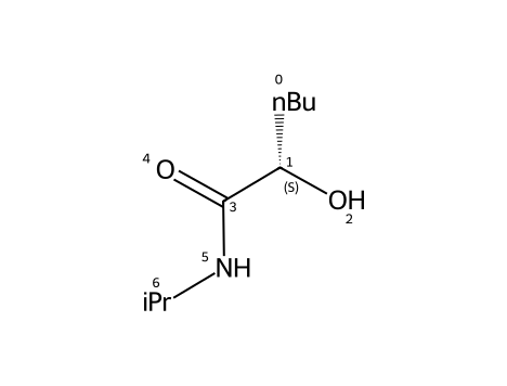 CCCC[C@H](O)C(=O)NC(C)C